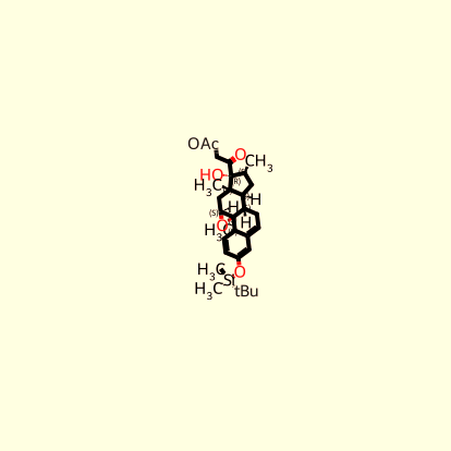 CC(=O)OCC(=O)[C@@]1(O)[C@@H](C)C[C@H]2[C@@H]3CC=C4C=C(O[Si](C)(C)C(C)(C)C)C=C[C@]4(C)[C@@]34O[C@H]4C[C@@]21C